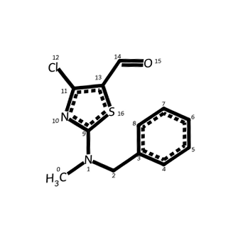 CN(Cc1ccccc1)c1nc(Cl)c(C=O)s1